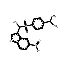 CC(C)c1ccc(S(=O)(=O)C(O)c2c[nH]c3ccc([N+](=O)[O-])cc23)cc1